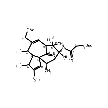 CCCCCCCCCCCC(=O)O[C@]1(N)C[C@@H](C)C23C=C(C)C(O)C2C(O)C(COC(C)=O)=CC(C3=O)C1(C)C